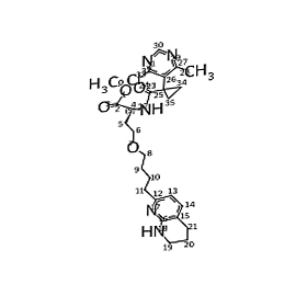 COC(=O)[C@H](CCOCCCCc1ccc2c(n1)NCCC2)NC(=O)C1(c2c(C)ncnc2Cl)CC1